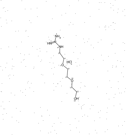 Cl.N=C(N)NCCOCCOCCO